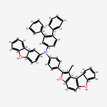 Cc1c(-c2ccc(N(c3ccc(-c4ccccc4)c(-c4ccccc4)c3)c3ccc4oc5ccccc5c4c3)cc2)oc2ccc3oc4ccccc4c3c12